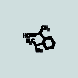 C#CC(=C)c1ccccc1C(C)C(C)(C)C